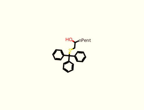 CCCCCC(O)CSC(c1ccccc1)(c1ccccc1)c1ccccc1